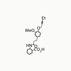 CCC#CCOc1ccc(CCC(=O)Nc2ccccc2C(=O)O)cc1OC